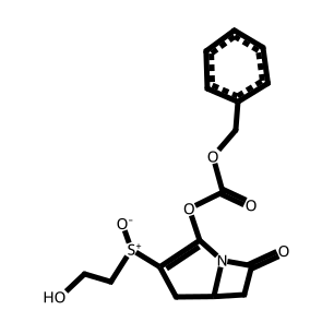 O=C(OCc1ccccc1)OC1=C([S+]([O-])CCO)CC2CC(=O)N12